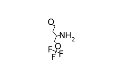 NC(CC=O)COC(F)(F)F